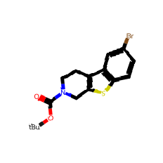 CC(C)(C)OC(=O)N1CCc2c(sc3ccc(Br)cc23)C1